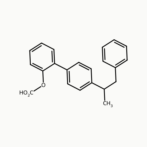 CC(Cc1ccccc1)c1ccc(-c2ccccc2OC(=O)O)cc1